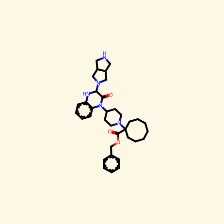 O=C1C(N2CC3CNCC3C2)Nc2ccccc2N1C1CCN(C2(C(=O)OCc3ccccc3)CCCCCCC2)CC1